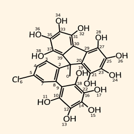 CC1(c2ccc(Cl)cc2-c2c(O)c(O)c(O)c(O)c2O)c2c(O)c(O)c(O)c(O)c2-c2c(O)c(O)c(O)c(O)c21